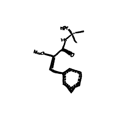 CCC[N+](C)(C)NC(=O)C(=Cc1ccccc1)OC